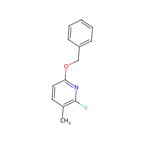 Cc1ccc(OCc2ccccc2)nc1F